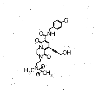 CN(CCN1CCn2c(c(C#CCO)cc(C(=O)NCc3ccc(Cl)cc3)c2=O)C1=O)S(C)(=O)=O